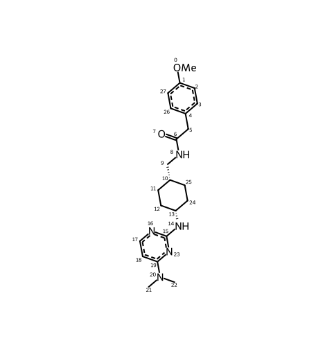 COc1ccc(CC(=O)NC[C@H]2CC[C@@H](Nc3nccc(N(C)C)n3)CC2)cc1